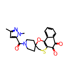 Cc1cc(C(=O)N2CCC3(CC2)CSC2=C(O3)c3ccccc3C(=O)C2=O)n(C)n1